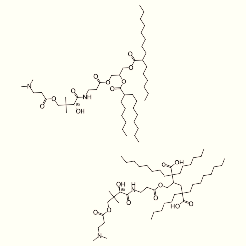 CCCCCCCCC(CCCCCC)(CC(COC(=O)CCNC(=O)[C@H](O)C(C)(C)COC(=O)CCN(C)C)C(CCCCCC)(CCCCCCCC)C(=O)O)C(=O)O.CCCCCCCCC(CCCCCC)C(=O)OCC(COC(=O)CCNC(=O)[C@H](O)C(C)(C)COC(=O)CCN(C)C)OC(=O)C(CCCCCC)CCCCCCCC